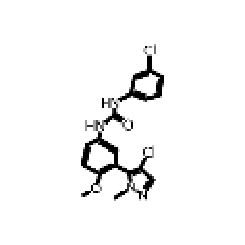 COc1ccc(NC(=O)Nc2cccc(Cl)c2)cc1-c1c(Cl)cnn1C